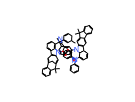 CC1C=C(C(C)(c2cccc3c4c(n(-c5cc(C#N)c(N6c7cc8c(cc7C7C=CC=C(N(c9ccccc9)c9ccccc9)C76)-c6ccccc6C8(C)C)cc5C#N)c23)C=C2CC(=C4)c3ccccc3C2(C)C)C2C=CC=CC2)C=CC1